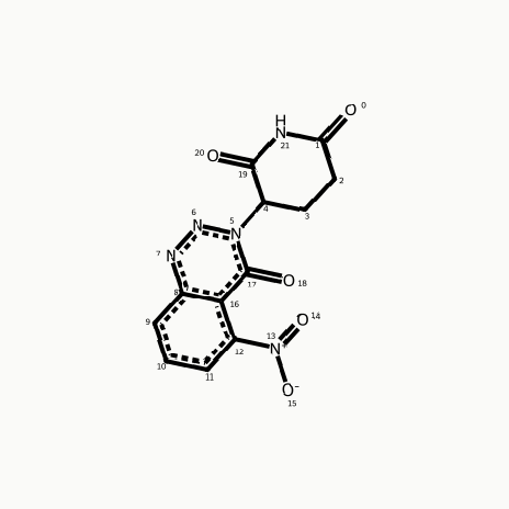 O=C1CCC(n2nnc3cccc([N+](=O)[O-])c3c2=O)C(=O)N1